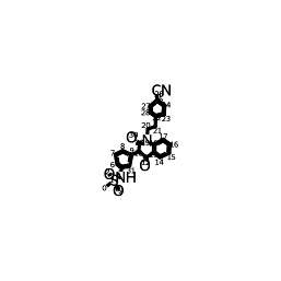 CS(=O)(=O)Nc1cccc(C2C(=O)c3ccccc3N(CCc3ccc(C#N)cc3)C2=O)c1